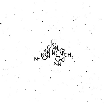 Cn1ccc(-c2nc(N)c(C(=O)NC3(c4cccc(C#N)n4)CC3)nc2-c2cc(Cl)c3ncsc3c2)n1